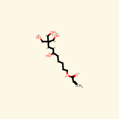 C=CC(=O)OCCCCCC(O)CCC(CO)(CO)CO